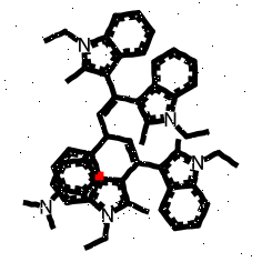 CCn1c(C)c(C(=CC(C=C(c2c(C)n(CC)c3ccccc23)c2c(C)n(CC)c3ccccc23)c2ccc(N(C)C)cc2)c2c(C)n(CC)c3ccccc23)c2ccccc21